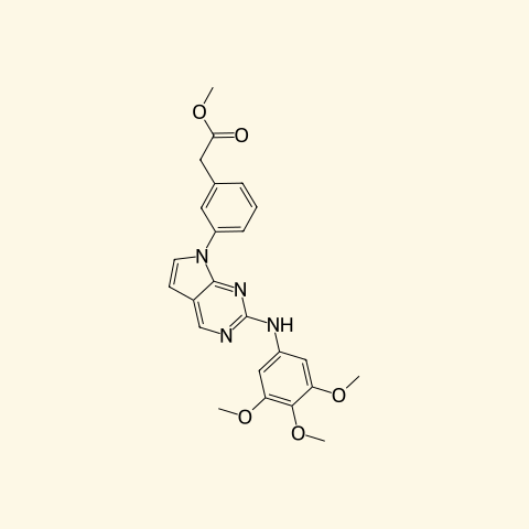 COC(=O)Cc1cccc(-n2ccc3cnc(Nc4cc(OC)c(OC)c(OC)c4)nc32)c1